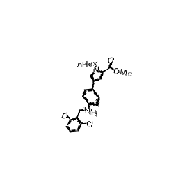 CCCCCCn1cc(-c2ccc(NCc3c(Cl)cccc3Cl)cc2)cc1C(=O)OC